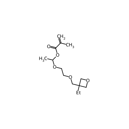 C=C(C)C(=O)OC(C)OCCOCC1(CC)COC1